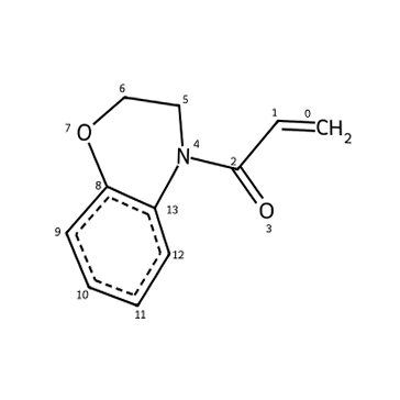 C=CC(=O)N1CCOc2ccccc21